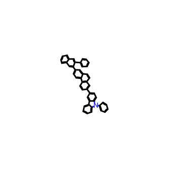 c1ccc(-c2cc3ccccc3cc2-c2ccc3c(ccc4cc(-c5ccc6c(c5)c5ccccc5n6-c5ccccc5)ccc43)c2)cc1